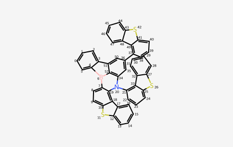 c1ccc2c(c1)B1c3ccc4sc5ccccc5c4c3N(c3cccc4sc5ccccc5c34)c3cc(-c4cccc5sc6ccccc6c45)cc-2c31